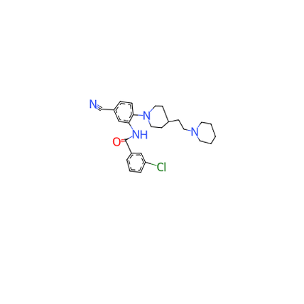 N#Cc1ccc(N2CCC(CCN3CCCCC3)CC2)c(NC(=O)c2cccc(Cl)c2)c1